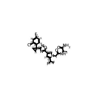 C[C@@H](NC(=O)Cn1nc(-c2nc(C3(c4ccc(F)cc4Cl)CC3)no2)cc1C(F)F)C(N)=O